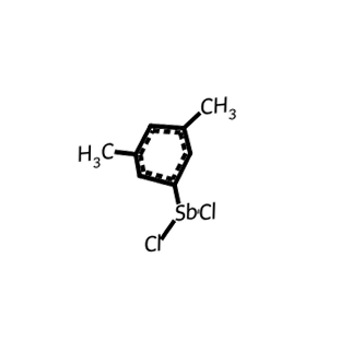 Cc1cc(C)c[c]([Sb]([Cl])[Cl])c1